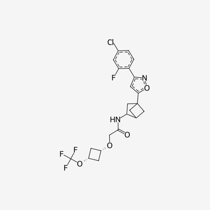 O=C(CO[C@H]1C[C@@H](OC(F)(F)F)C1)NC1CC2(c3cc(-c4ccc(Cl)cc4F)no3)CC1C2